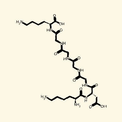 NCCCC[C@H](NC(=O)CNC(=O)CNC(=O)CNC(=O)CNC(=O)[C@H](CC(=O)O)NC(=O)[C@@H](N)CCCCN)C(=O)O